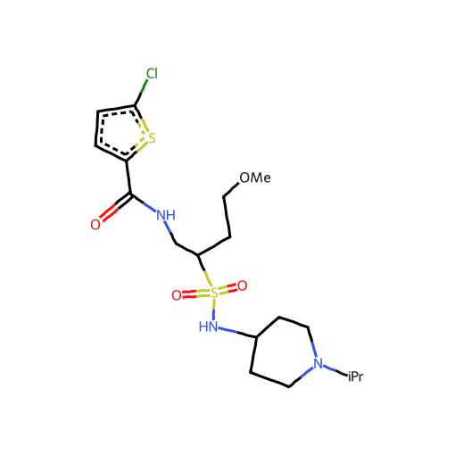 COCCC(CNC(=O)c1ccc(Cl)s1)S(=O)(=O)NC1CCN(C(C)C)CC1